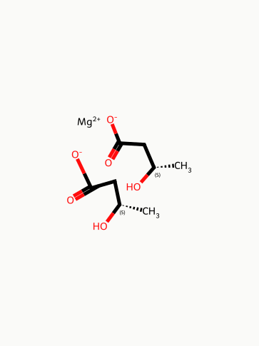 C[C@H](O)CC(=O)[O-].C[C@H](O)CC(=O)[O-].[Mg+2]